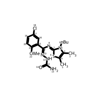 CCCCn1c(C)c(C)s/c1=N\C(=NNC(N)=O)c1cc(Cl)ccc1OC